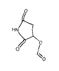 O=[C]OC1CC(=O)NC1=O